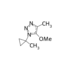 COc1c(C)nnn1C1(C)CC1